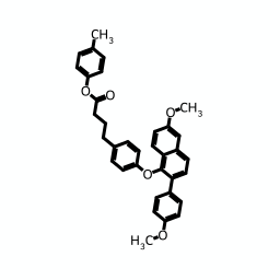 COc1ccc(-c2ccc3cc(OC)ccc3c2Oc2ccc(CCCC(=O)Oc3ccc(C)cc3)cc2)cc1